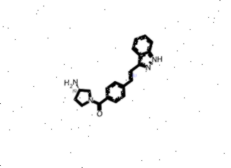 N[C@H]1CCN(C(=O)c2ccc(/C=C/c3n[nH]c4ccccc34)cc2)C1